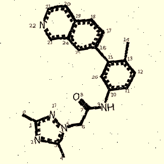 Cc1nc(C)n(CC(=O)Nc2ccc(C)c(-c3ccc4ccncc4c3)c2)n1